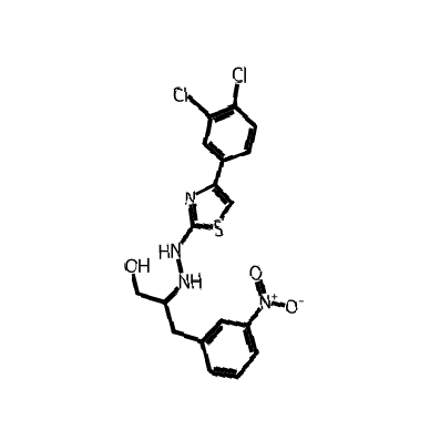 O=[N+]([O-])c1cccc(CC(CO)NNc2nc(-c3ccc(Cl)c(Cl)c3)cs2)c1